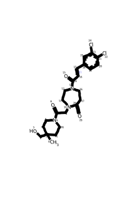 CC1(CO)CCN(C(=O)CN2CCN(C(=O)/C=C/c3ccc(Cl)c(Cl)c3)CCC2=O)CC1